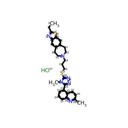 CCc1nc2cc3c(cc2s1)CCN(CCCSc1nnc(-c2cccc4nc(C)ccc24)n1C)CC3.Cl